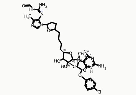 Cc1ncn(C2CCC(CCCC[C@H]3O[C@@H]([N+](C)(CCOc4ccc(Cl)cc4)c4c(N)nc(N)[nH]c4=O)[C@](C)(O)C3O)O2)c1/N=C(/N)NC=O